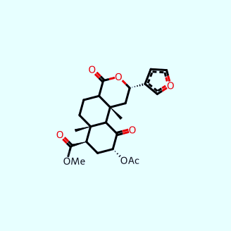 COC(=O)[C@@H]1C[C@@H](OC(C)=O)C(=O)C2[C@@]3(C)C[C@@H](c4ccoc4)OC(=O)C3CC[C@]21C